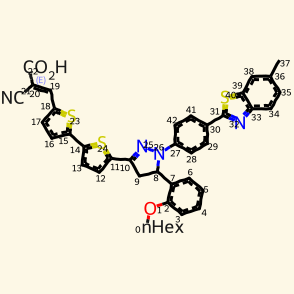 CCCCCCOc1ccccc1C1CC(c2ccc(-c3ccc(/C=C(\C#N)C(=O)O)s3)s2)=NN1c1ccc(-c2nc3ccc(C)cc3s2)cc1